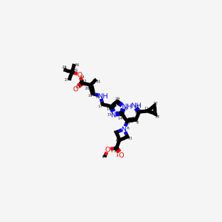 COC(=O)C1CN(/C(=C/C(=N)C2CC2)c2nc(CN/C=C(\C)C(=O)OC(C)(C)C)c[nH]2)C1